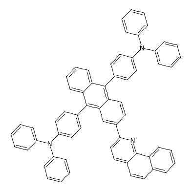 c1ccc(N(c2ccccc2)c2ccc(-c3c4ccccc4c(-c4ccc(N(c5ccccc5)c5ccccc5)cc4)c4cc(-c5ccc6ccc7ccccc7c6n5)ccc34)cc2)cc1